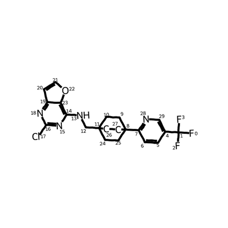 FC(F)(F)c1ccc(C23CCC(CNc4nc(Cl)nc5ccoc45)(CC2)CC3)nc1